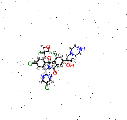 CCC(O)(CN1CCNCC1)c1cc(F)c2c(c1)C(=O)N(Cc1ncc(Cl)cn1)[C@@]2(OCC1(F)COC1)c1ccc(Cl)cc1